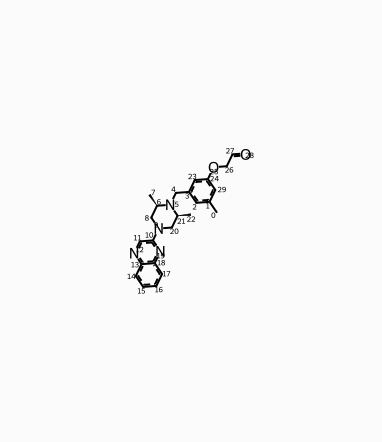 Cc1cc(CN2[C@H](C)CN(c3cnc4ccccc4n3)C[C@@H]2C)cc(OCC=O)c1